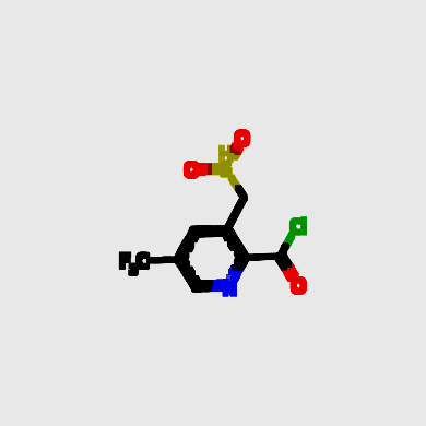 O=C(Cl)c1ncc(C(F)(F)F)cc1C[SH](=O)=O